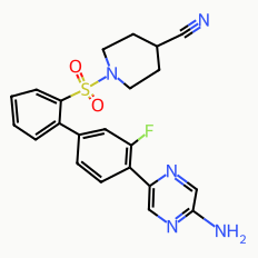 N#CC1CCN(S(=O)(=O)c2ccccc2-c2ccc(-c3cnc(N)cn3)c(F)c2)CC1